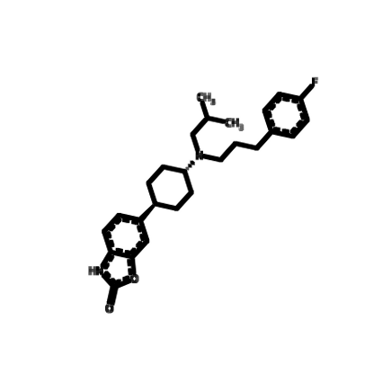 CC(C)CN(CCCc1ccc(F)cc1)[C@H]1CC[C@H](c2ccc3[nH]c(=O)oc3c2)CC1